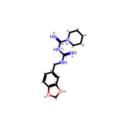 N=C(NCc1ccc2c(c1)OCO2)NC(=N)N1CCCCC1